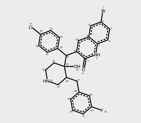 O=c1[nH]c2ccc(Br)cc2cc1C(c1ccc(Cl)cc1)C1(O)CCNCC1Cc1cccc(F)c1